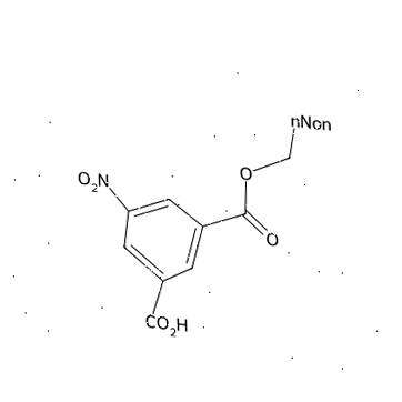 CCCCCCCCCCOC(=O)c1cc(C(=O)O)cc([N+](=O)[O-])c1